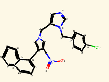 O=[N+]([O-])c1cn(Cc2cncn2Cc2ccc(Cl)cc2)cc1-c1cccc2ccccc12